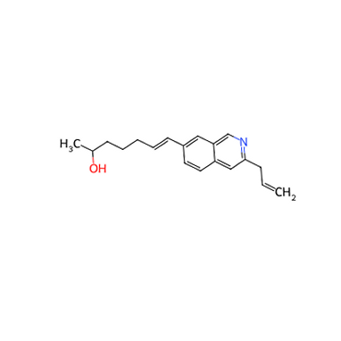 C=CCc1cc2ccc(/C=C/CCCC(C)O)cc2cn1